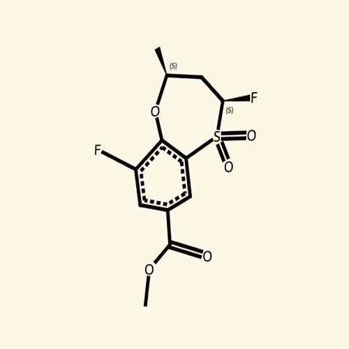 COC(=O)c1cc(F)c2c(c1)S(=O)(=O)[C@H](F)C[C@H](C)O2